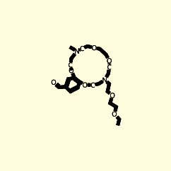 CCOCCOCCN1CCOCCOCCN(C)CCOc2cc(C=O)ccc2OCC1